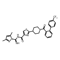 Cc1cc(C)n(C(=N)NC(=O)c2csc(C3CCN(C(=O)c4ccccc4-c4ccc(C(F)(F)F)cc4)CC3)n2)n1